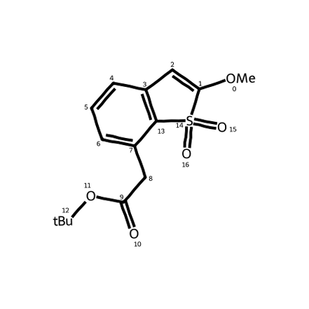 COC1=Cc2cccc(CC(=O)OC(C)(C)C)c2S1(=O)=O